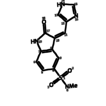 CNS(=O)(=O)c1ccc2c(c1)C(=Cc1c[nH]cn1)C(=O)N2